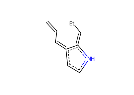 C=C/C=c1/cc[nH]/c1=C/CC